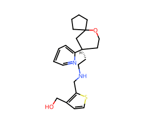 OCc1ccsc1CNCC[C@@]1(c2ccccn2)CCOC2(CCCC2)C1